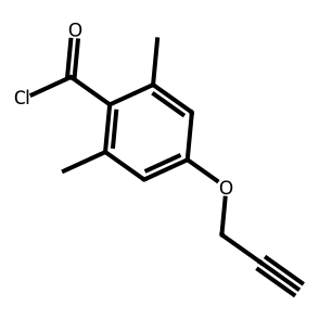 C#CCOc1cc(C)c(C(=O)Cl)c(C)c1